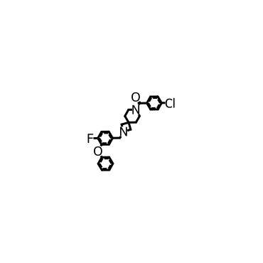 O=C(c1ccc(Cl)cc1)N1CCC2(CC1)CN(Cc1ccc(F)c(Oc3ccccc3)c1)C2